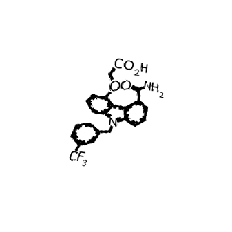 NC(=O)c1cccc2c1c1c(OCC(=O)O)cccc1n2Cc1cccc(C(F)(F)F)c1